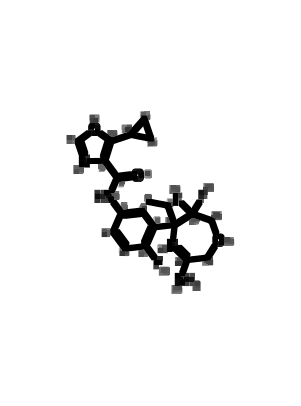 CCC1(c2cc(NC(=O)c3ncoc3C3CC3)ccc2F)N=C(N)COCC1(F)F